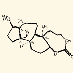 C[C@]12CCNC(=O)OC1CC[C@@H]1C2CC[C@]2(C)C(O)CC[C@@H]12